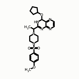 COc1ccc(S(=O)(=O)N2CCN(C(C)C3=Nc4nccnc4C(OC4CCCC4)N3)CC2)cc1